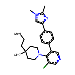 CNCCC1(C=O)CCN(c2c(Cl)cncc2-c2ccc(-c3cn(C)c(C)n3)cc2)CC1